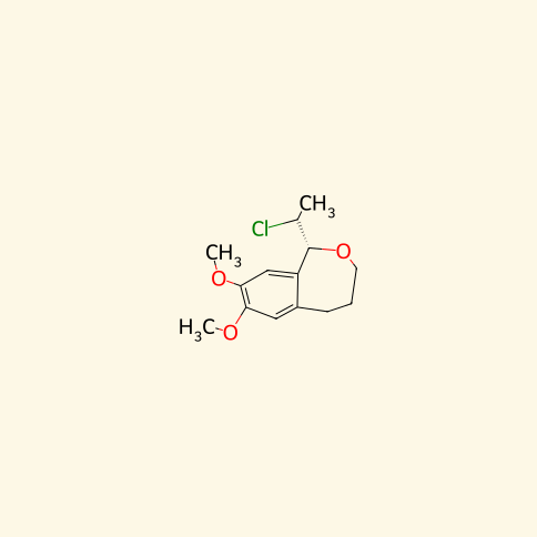 COc1cc2c(cc1OC)[C@H](C(C)Cl)OCCC2